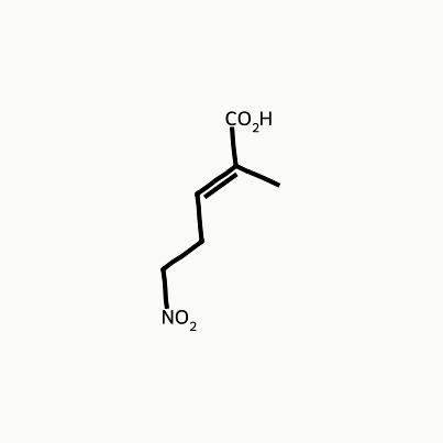 CC(=CCC[N+](=O)[O-])C(=O)O